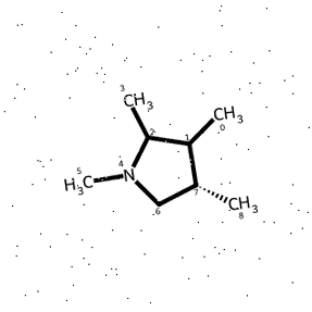 CC1C(C)N(C)C[C@H]1C